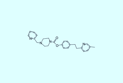 Cc1ccc(CCc2ccc(OC(=O)N3CCN(Cc4ccccn4)CC3)cc2)nc1